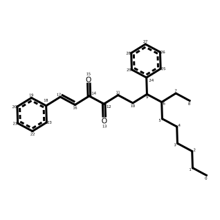 CCCCCCC(CC)C(CCC(=O)C(=O)/C=C/c1ccccc1)c1ccccc1